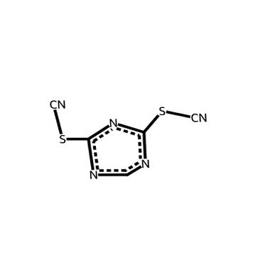 N#CSc1ncnc(SC#N)n1